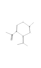 CC(=O)C1CCC(C)CC1C(C)C